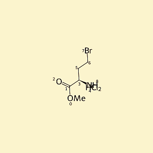 COC(=O)[C@H](N)CCBr.Cl